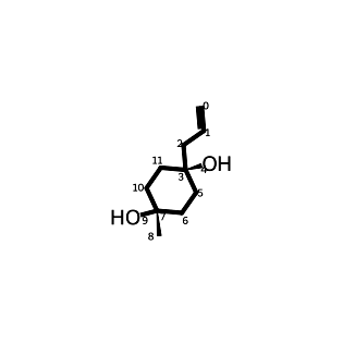 C=CC[C@]1(O)CC[C@](C)(O)CC1